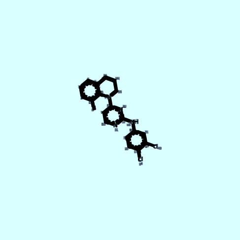 Cc1cccc2c1N(c1ccnc(Nc3ccc(Cl)c(Cl)c3)n1)CCC2